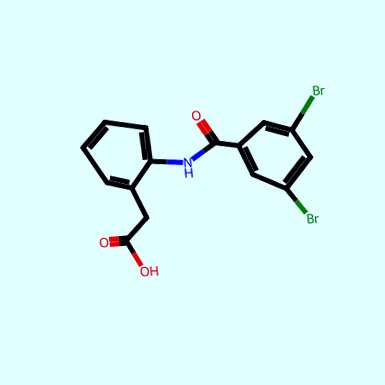 O=C(O)Cc1ccccc1NC(=O)c1cc(Br)cc(Br)c1